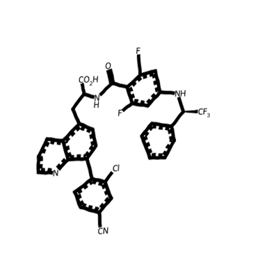 N#Cc1ccc(-c2ccc(CC(NC(=O)c3c(F)cc(N[C@H](c4ccccc4)C(F)(F)F)cc3F)C(=O)O)c3cccnc23)c(Cl)c1